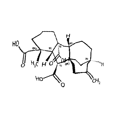 C=C1C[C@]23C[C@H]1CC[C@H]2[C@]1(C(=O)O)CCC[C@@](C)(C(=O)O)[C@H]1[C@@H]3C(=O)O